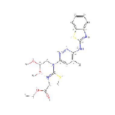 CCOC(=O)c1csc(N(CC(OC)OC)c2cc(C)c(Nc3nc4ccccc4s3)nn2)n1